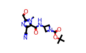 Cn1c(C=O)nc(C#N)c1C(=O)NC1CN(C(=O)OC(C)(C)C)C1